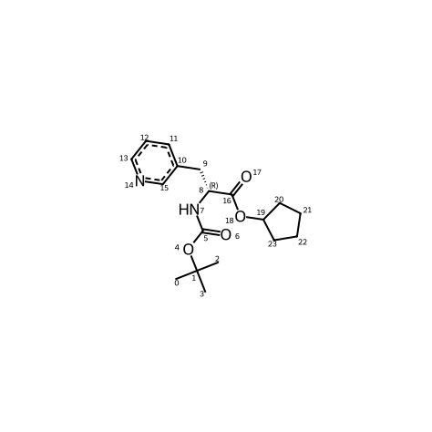 CC(C)(C)OC(=O)N[C@H](Cc1cccnc1)C(=O)OC1CCCC1